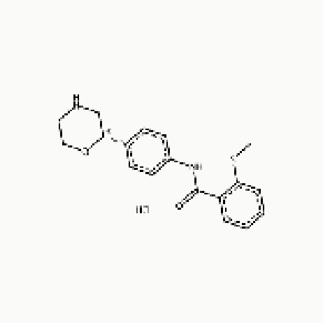 CSc1ccccc1C(=O)Nc1ccc([C@H]2CNCCO2)cc1.Cl